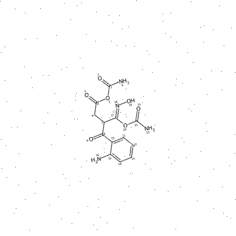 NC(=O)OC(=O)CC(C(=O)c1ccccc1N)/C(=N/O)OC(N)=O